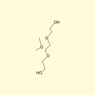 COC.OCCOCCOCCO